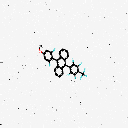 COc1cc(F)c(-c2c3ccccc3c(-c3c(F)c(F)c(C(F)(F)F)c(F)c3F)c3ccccc23)c(F)c1